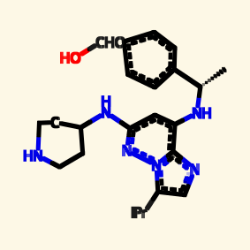 CC(C)c1cnc2c(N[C@@H](C)c3ccccc3)cc(NC3CCNCC3)nn12.O=CO